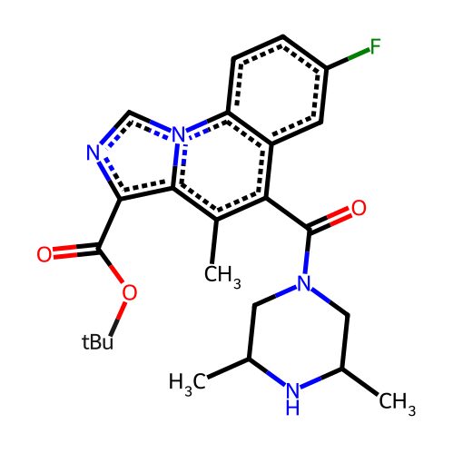 Cc1c(C(=O)N2CC(C)NC(C)C2)c2cc(F)ccc2n2cnc(C(=O)OC(C)(C)C)c12